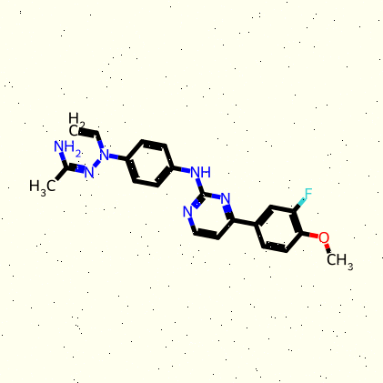 C=CN(/N=C(/C)N)c1ccc(Nc2nccc(-c3ccc(OC)c(F)c3)n2)cc1